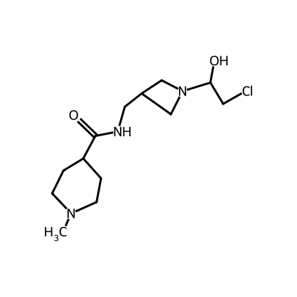 CN1CCC(C(=O)NCC2CN(C(O)CCl)C2)CC1